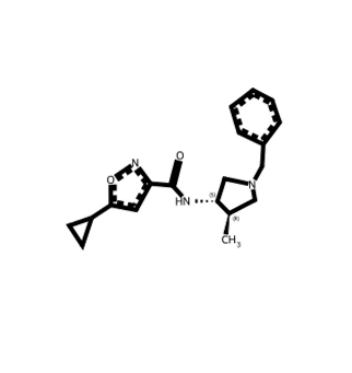 C[C@@H]1CN(Cc2ccccc2)C[C@H]1NC(=O)c1cc(C2CC2)on1